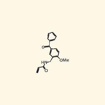 C=CC(=O)NCc1cc(C(=O)c2ccccc2)ccc1OC